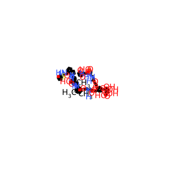 Cc1c(-c2ccc(N3CCc4cccc(C(=O)Nc5nc6ccccc6s5)c4C3)nc2C(=O)O)cnn1CC12CC3(C)C[C@@](C)(C1)C[C@@](OCCNCC(=O)OCc1ccc(O[C@@H]4OC(C(=O)O)=C(O)C(O)=C4O)cc1OCCOCCNC[C@@H](CS(=O)(=O)O)NCCCN1C(=O)C=CC1=O)(C3)C2